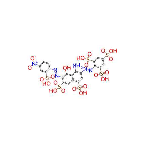 Nc1c(N=Nc2c(S(=O)(=O)O)cc(S(=O)(=O)O)cc2S(=O)(=O)O)cc(S(=O)(=O)O)c2cc(S(=O)(=O)O)c(N=Nc3ccc([N+](=O)[O-])cc3S(=O)(=O)O)c(O)c12